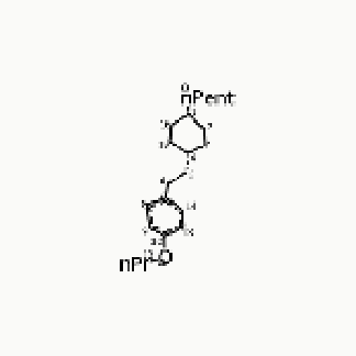 CCCCC[C@H]1CC[C@H](CCc2ccc(OCCC)cc2)CC1